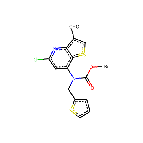 CC(C)(C)OC(=O)N(Cc1cccs1)c1cc(Cl)nc2c(C=O)csc12